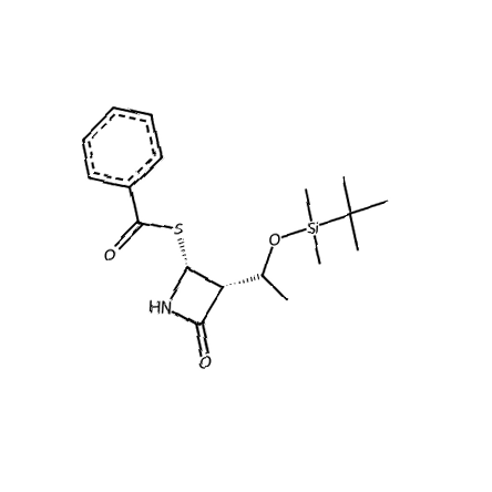 CC(O[Si](C)(C)C(C)(C)C)[C@@H]1C(=O)N[C@@H]1SC(=O)c1ccccc1